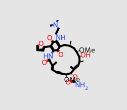 CO[C@H]1C[C@H](C)CC2=C(NCCN(C)C)C(=O)C(c3ccco3)=C(NC(=O)/C(C)=C/C=C\[C@@H](OC)[C@@H](OC(N)=O)/C(C)=C/[C@H](C)[C@H]1O)C2=O